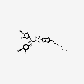 N#Cc1ccc(OP(=O)(CNS(=O)(=O)c2cc3sc(CSCCCN)cc3s2)Oc2ccc(C#N)c(F)c2)cc1F